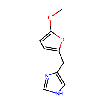 COc1ccc(Cc2c[nH]cn2)o1